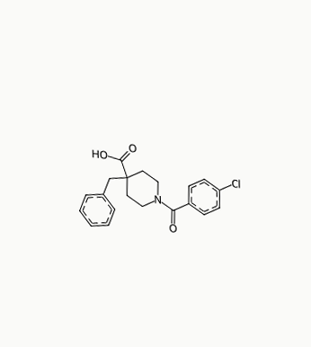 O=C(c1ccc(Cl)cc1)N1CCC(Cc2ccccc2)(C(=O)O)CC1